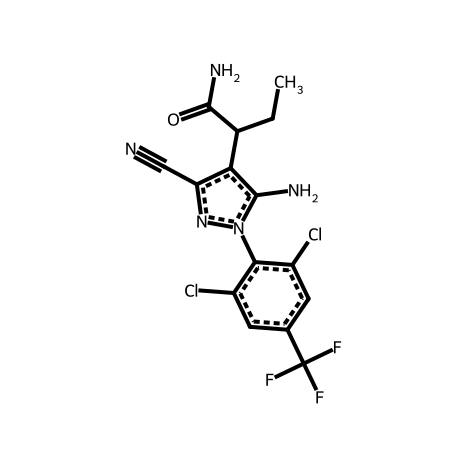 CCC(C(N)=O)c1c(C#N)nn(-c2c(Cl)cc(C(F)(F)F)cc2Cl)c1N